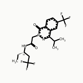 CC[C@@H](CC(F)(F)F)NC(=O)Cn1nc(C(C)C)c2cc(C(F)(F)F)ccc2c1=O